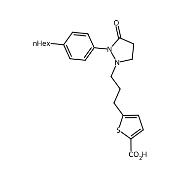 CCCCCCc1ccc(N2C(=O)CCN2CCCc2ccc(C(=O)O)s2)cc1